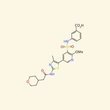 COc1ncc(-c2sc(NC(=O)CC3CCOCC3)nc2C)cc1S(=O)(=O)Nc1cccc(C(=O)O)c1